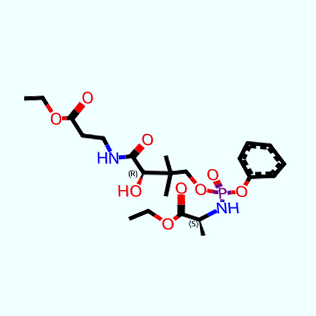 CCOC(=O)CCNC(=O)[C@H](O)C(C)(C)COP(=O)(N[C@@H](C)C(=O)OCC)Oc1ccccc1